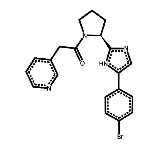 O=C(Cc1cccnc1)N1CCC[C@H]1c1ncc(-c2ccc(Br)cc2)[nH]1